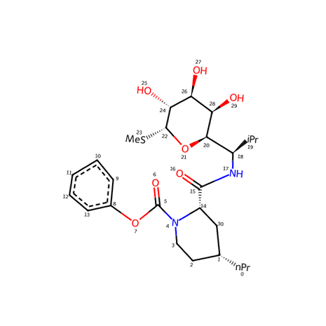 CCC[C@@H]1CCN(C(=O)Oc2ccccc2)[C@H](C(=O)N[C@H](C(C)C)[C@H]2O[C@H](SC)[C@H](O)[C@@H](O)[C@H]2O)C1